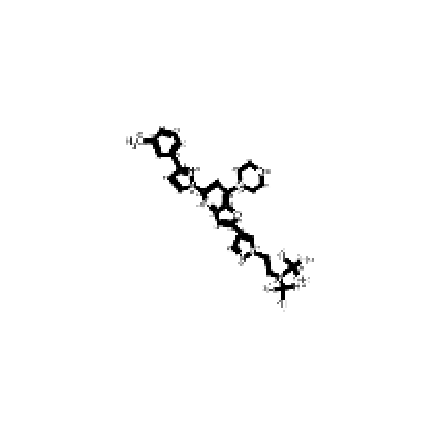 [2H]C([2H])([2H])N(CCn1cc(-c2cc3nc(-n4ccc(-c5cccc(C)c5)n4)cc(N4CCOCC4)c3o2)cn1)C([2H])([2H])[2H]